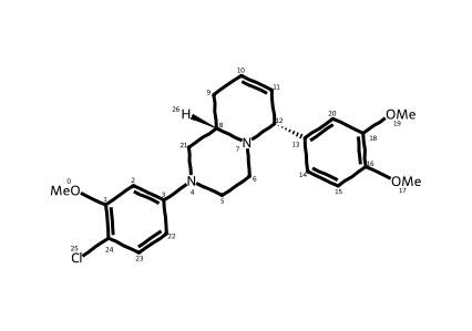 COc1cc(N2CCN3[C@@H](CC=C[C@@H]3c3ccc(OC)c(OC)c3)C2)ccc1Cl